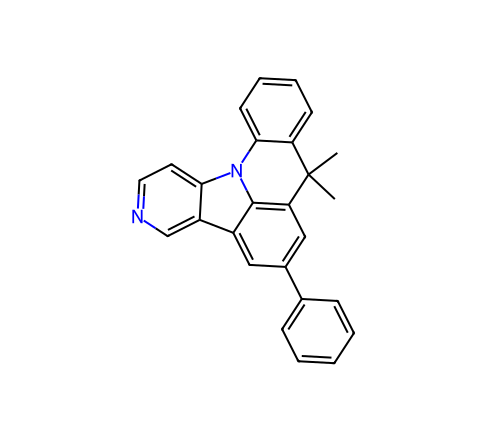 CC1(C)c2ccccc2-n2c3ccncc3c3cc(-c4ccccc4)cc1c32